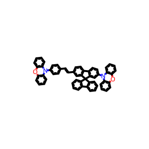 C(=C\c1ccc2c(c1)C1(c3ccccc3-c3ccccc31)c1cc(N3c4ccccc4Oc4ccccc43)ccc1-2)/c1ccc(N2c3ccccc3Oc3ccccc32)cc1